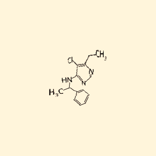 CCc1ncnc(NC(C)c2ccccc2)c1Cl